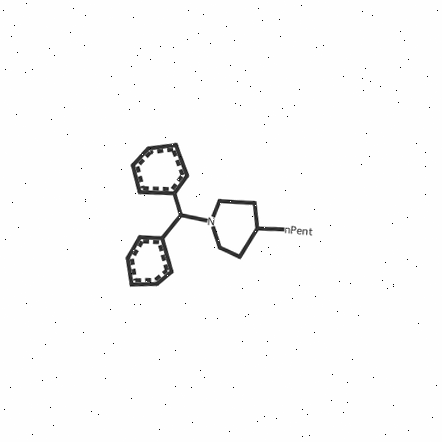 CCCCCC1CCN(C(c2ccccc2)c2ccccc2)CC1